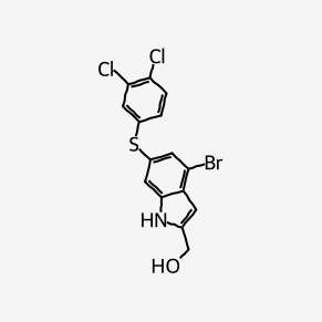 OCc1cc2c(Br)cc(Sc3ccc(Cl)c(Cl)c3)cc2[nH]1